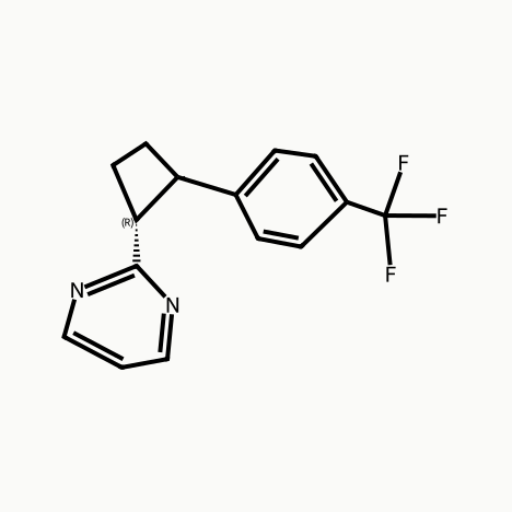 FC(F)(F)c1ccc([C]2CC[C@H]2c2ncccn2)cc1